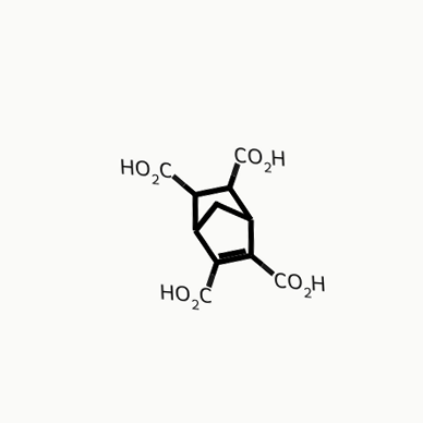 O=C(O)C1=C(C(=O)O)C2CC1C(C(=O)O)C2C(=O)O